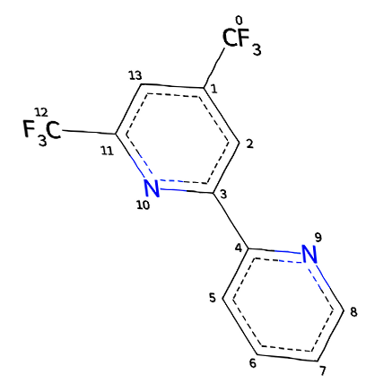 FC(F)(F)c1cc(-c2ccccn2)nc(C(F)(F)F)c1